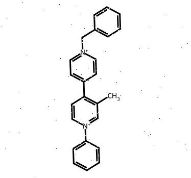 Cc1c[n+](-c2ccccc2)ccc1-c1cc[n+](Cc2ccccc2)cc1